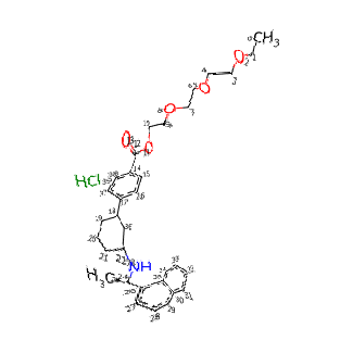 CCOCCOCCOCCOC(=O)c1ccc(C2CCCC(N[C@H](C)c3cccc4ccccc34)C2)cc1.Cl